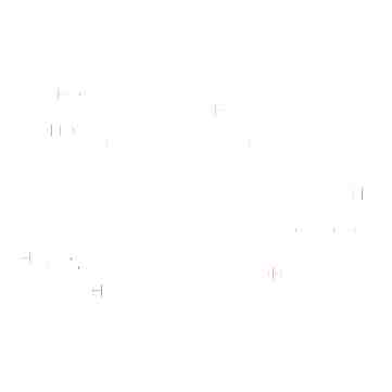 CN(C)c1ccc(-c2c3c(c(O)c4c(=O)c5c6c(c(O)cc5oc24)OC(C)(C)CC6)CCC(C)(C)O3)cc1